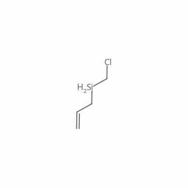 C=CC[SiH2]CCl